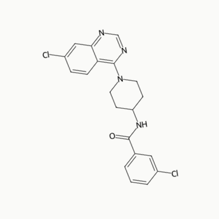 O=C(NC1CCN(c2ncnc3cc(Cl)ccc23)CC1)c1cccc(Cl)c1